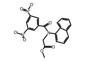 COC(=O)CN(C(=O)c1cc([N+](=O)[O-])cc([N+](=O)[O-])c1)c1cccc2ccccc12